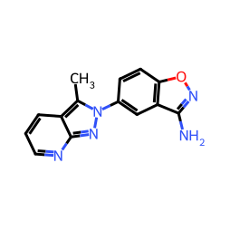 Cc1c2cccnc2nn1-c1ccc2onc(N)c2c1